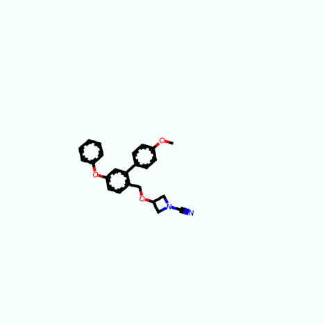 COc1ccc(-c2cc(Oc3ccccc3)ccc2COC2CN(C#N)C2)cc1